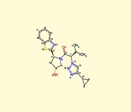 CC(C)[C@H](C(=O)N1C[C@H](O)C[C@H]1c1nc2ccccc2s1)n1cc(C2CC2)nn1